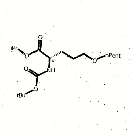 CCCCCOCCC[C@H](NC(=O)OC(C)(C)C)C(=O)OC(C)C